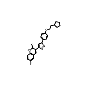 O=c1[nH]c2ccc(F)cc2cc1-c1cn(-c2ccc(OCCC3CCCC3)cc2)nn1